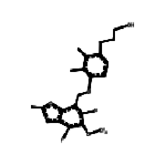 Cc1cc2c(F)c(OC(F)(F)F)c(F)c(COc3ccc(CCCO)c(C)c3C)c2o1